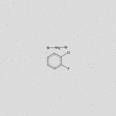 Fc1cc[c]cc1Cl.[Br][Mg][Br]